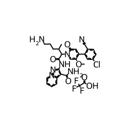 COc1cn(C(C(=O)Nc2nn3ccccc3c2C(N)=O)C(C)CCCN)c(=O)cc1-c1cc(Cl)ccc1C#N.O=C(O)C(F)(F)F